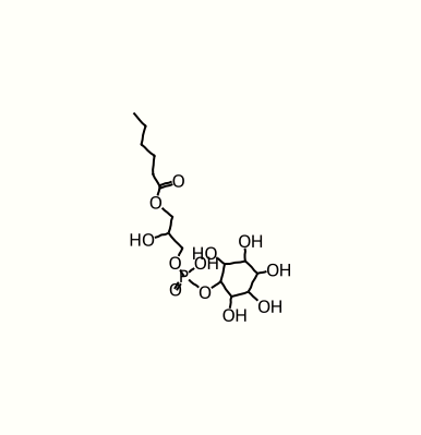 CCCCCC(=O)OCC(O)COP(=O)(O)OC1C(O)C(O)C(O)C(O)C1O